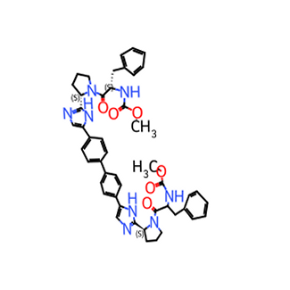 COC(=O)NC(Cc1ccccc1)C(=O)N1CCC[C@H]1c1ncc(-c2ccc(-c3ccc(-c4cnc([C@@H]5CCCN5C(=O)[C@H](Cc5ccccc5)NC(=O)OC)[nH]4)cc3)cc2)[nH]1